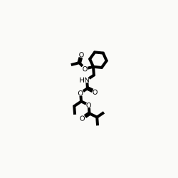 CCC(OC(=O)NCC1(OC(C)=O)CCCCC1)OC(=O)C(C)C